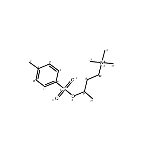 Cc1ccc(S(=O)(=O)OC(C)CC[N+](C)(C)C)cc1